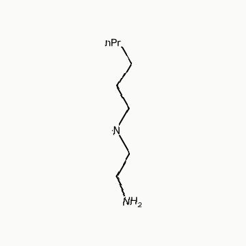 CCCCCC[N]CCN